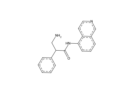 NCC(C(=O)Nc1cccc2cnccc12)c1ccccc1